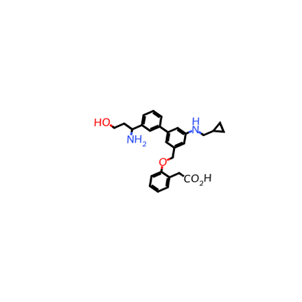 NC(CCO)c1cccc(-c2cc(COc3ccccc3CC(=O)O)cc(NCC3CC3)c2)c1